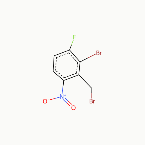 O=[N+]([O-])c1ccc(F)c(Br)c1CBr